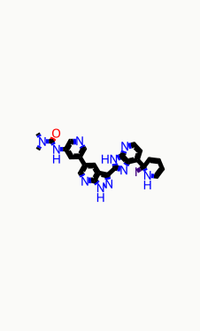 CN(C)C(=O)Nc1cncc(-c2cnc3[nH]nc(-c4nc5c(C6(I)C=CC=CN6)ccnc5[nH]4)c3c2)c1